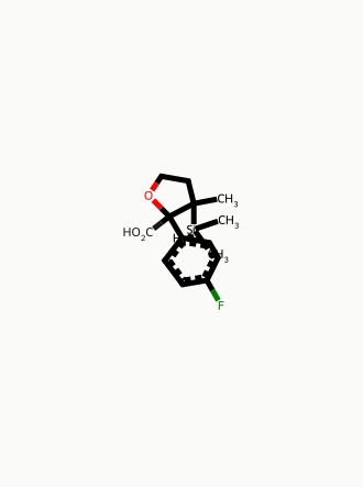 CC1([Si](C)(C)C)CCOC1(C(=O)O)c1ccc(F)cc1